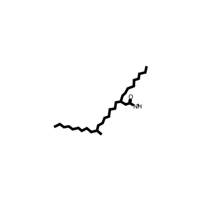 CCCCCCCCCC(C)CCCCCCCC(CCCCCCCCC)CC(=O)NC